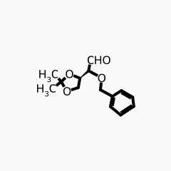 CC1(C)OC[C@H](C(C=O)OCc2ccccc2)O1